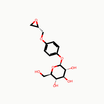 OC[C@H]1O[C@@H](Oc2ccc(OC[C@@H]3CO3)cc2)[C@H](O)[C@@H](O)[C@@H]1O